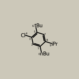 CCCCc1cc(Cl)c(C(C)(C)C)cc1C(C)C